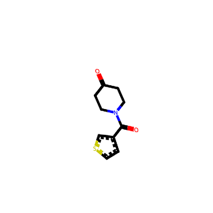 O=C1CCN(C(=O)c2ccsc2)CC1